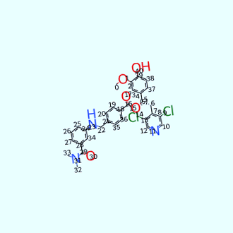 COc1cc([C@H](Cc2c(Cl)cncc2Cl)OC(=O)c2ccc(CNc3cccc(C(=O)N(C)C)c3)cc2)ccc1O